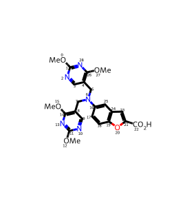 COc1ncc(CN(Cc2cnc(OC)nc2OC)c2ccc3oc(C(=O)O)cc3c2)c(OC)n1